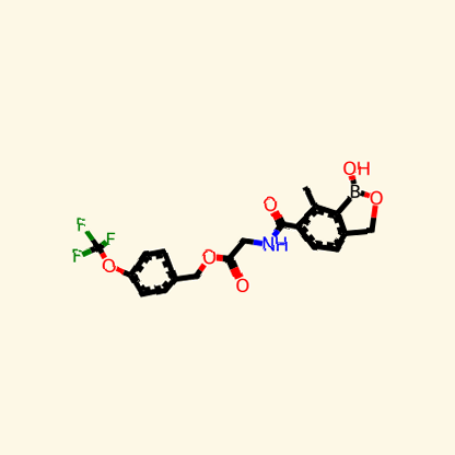 Cc1c(C(=O)NCC(=O)OCc2ccc(OC(F)(F)F)cc2)ccc2c1B(O)OC2